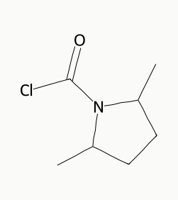 CC1CCC(C)N1C(=O)Cl